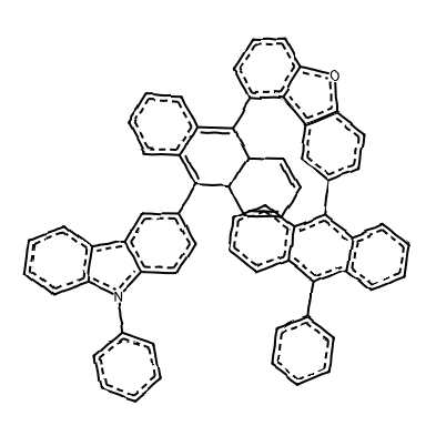 C1=CC2C(c3ccc4c(c3)c3ccccc3n4-c3ccccc3)=c3ccccc3=C(c3cccc4oc5ccc(-c6c7ccccc7c(-c7ccccc7)c7ccccc67)cc5c34)C2C=C1